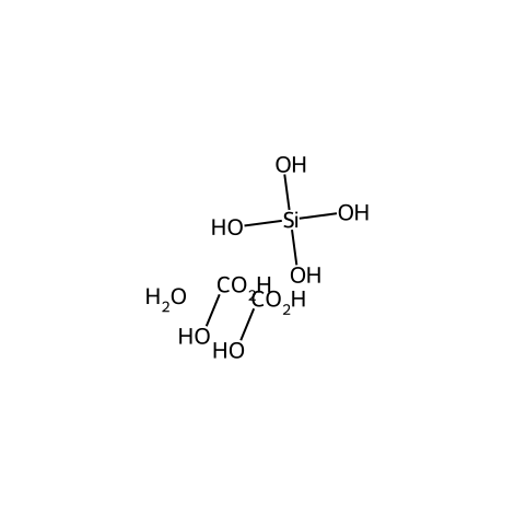 O.O=C(O)O.O=C(O)O.O[Si](O)(O)O